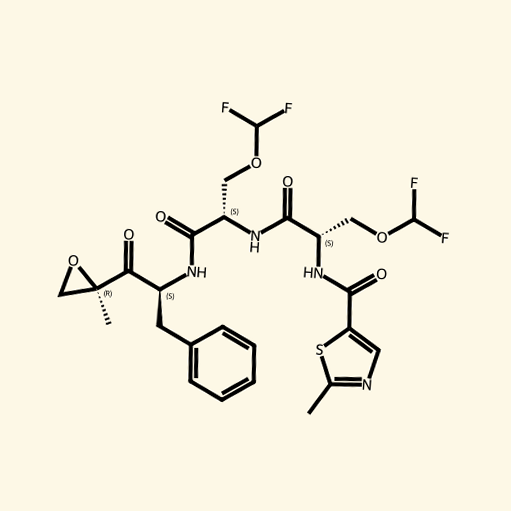 Cc1ncc(C(=O)N[C@@H](COC(F)F)C(=O)N[C@@H](COC(F)F)C(=O)N[C@@H](Cc2ccccc2)C(=O)[C@@]2(C)CO2)s1